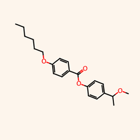 CCCCCCOc1ccc(C(=O)Oc2ccc(C(C)OC)cc2)cc1